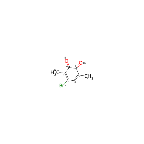 CC1=CC(Br)=C(C)C(=O)C1=O